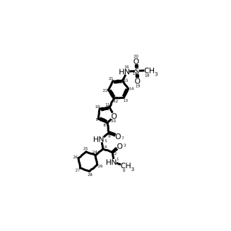 CNC(=O)C(NC(=O)c1ccc(-c2ccc(NS(C)(=O)=O)cc2)o1)C1CCCCC1